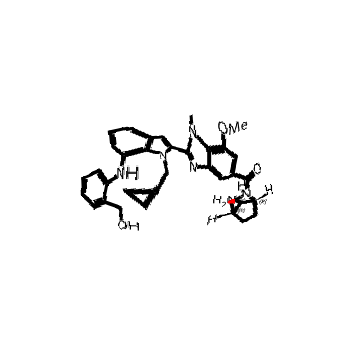 COc1cc(C(=O)N2C[C@H]3CC[C@@H]2[C@@H]3N)cc2nc(-c3cc4cccc(Nc5ccccc5CO)c4n3CC3CC3)n(C)c12